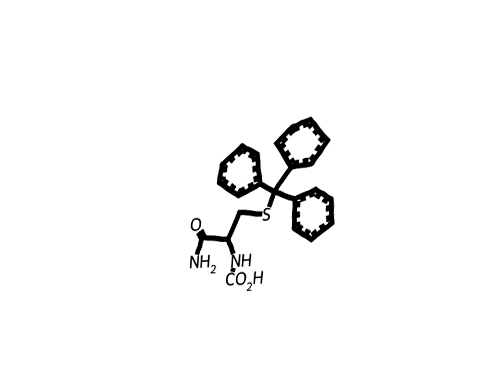 NC(=O)C(CSC(c1ccccc1)(c1ccccc1)c1ccccc1)NC(=O)O